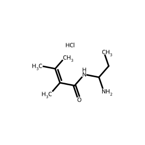 CCC(N)NC(=O)C(C)=C(C)C.Cl